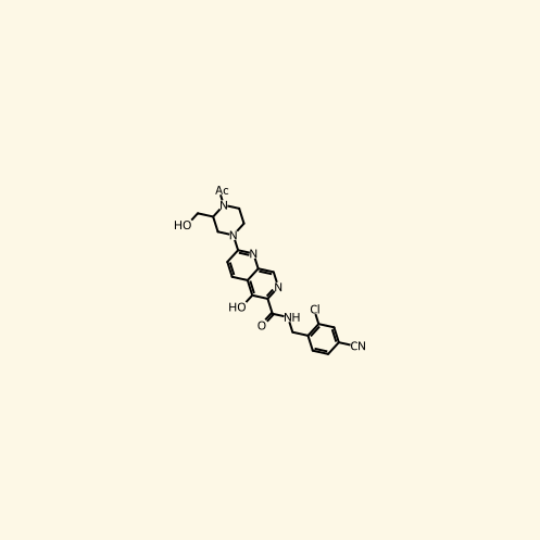 CC(=O)N1CCN(c2ccc3c(O)c(C(=O)NCc4ccc(C#N)cc4Cl)ncc3n2)CC1CO